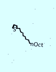 CCCCCCCCCCCCCCCCc1cccs1